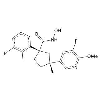 COc1ncc([C@]2(C)CC[C@@](C(=O)NO)(c3cccc(F)c3C)C2)cc1F